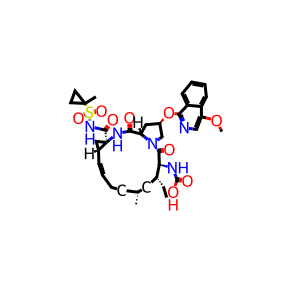 CC[C@@H]1C[C@H](C)CC/C=C\[C@@H]2C[C@@]2(C(=O)NS(=O)(=O)C2(C)CC2)NC(=O)[C@@H]2C[C@@H](Oc3ncc(OC)c4ccccc34)CN2C(=O)[C@H]1NC(=O)O